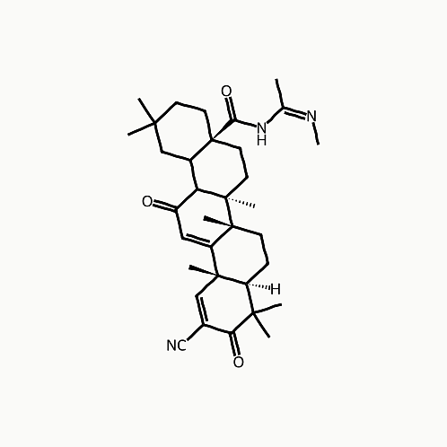 C/N=C(/C)NC(=O)[C@]12CCC(C)(C)CC1C1C(=O)C=C3[C@@]4(C)C=C(C#N)C(=O)C(C)(C)[C@@H]4CC[C@@]3(C)[C@]1(C)CC2